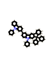 c1ccc(-n2c3ccccc3c3ccc(-c4ccc5c(c4)c4cc6c(cc4n5-c4ccccc4)C(c4ccccc4)(c4ccccc4)c4ccccc4-6)cc32)cc1